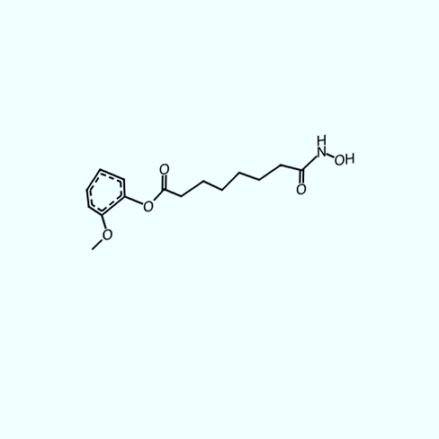 COc1ccccc1OC(=O)CCCCCCC(=O)NO